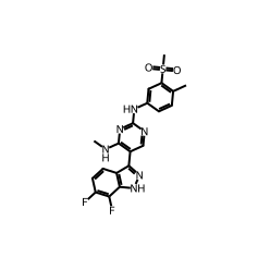 CNc1nc(Nc2ccc(C)c(S(C)(=O)=O)c2)ncc1-c1n[nH]c2c(F)c(F)ccc12